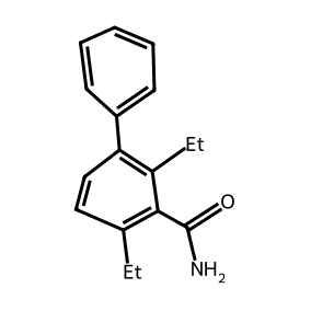 CCc1ccc(-c2ccccc2)c(CC)c1C(N)=O